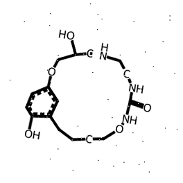 O=C1NCCNCC(O)COc2ccc(O)c(c2)CCCCON1